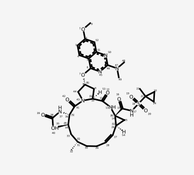 COc1ccc2c(O[C@@H]3C[C@H]4C(=O)N[C@]5(C(=O)NS(=O)(=O)C6(C)CC6)C[C@H]5C=CCC[C@H](C)C[C@@H](C)[C@H](NC(=O)O)C(=O)N4C3)nc(N(C)C)nc2c1